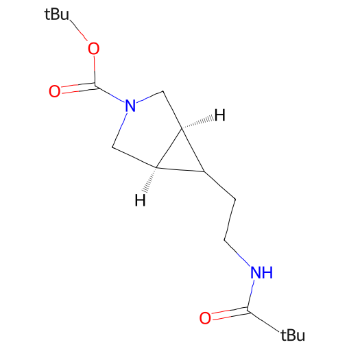 CC(C)(C)OC(=O)N1C[C@@H]2C(CCNC(=O)C(C)(C)C)[C@@H]2C1